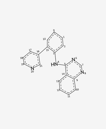 [c]1ccc(Nc2ncnc3ccccc23)c(-c2cccnc2)c1